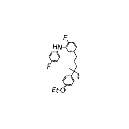 C=CC(C)(CCCc1ccc(F)c(Nc2ccc(F)cc2)c1)c1ccc(OCC)cc1